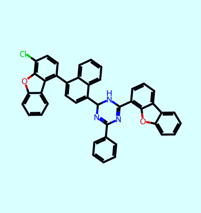 Clc1ccc(-c2ccc(C3N=C(c4ccccc4)N=C(c4cccc5c4oc4ccccc45)N3)c3ccccc23)c2c1oc1ccccc12